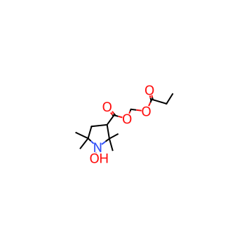 CCC(=O)OCOC(=O)C1CC(C)(C)N(O)C1(C)C